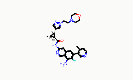 Cc1ccncc1-c1cc2cc(NC(=O)[C@H]3[C@H](C)[C@@H]3c3cnn(CCN4CCOCC4)c3)ncc2c(N)c1F